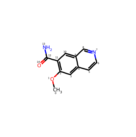 COc1cc2ccncc2cc1C(N)=O